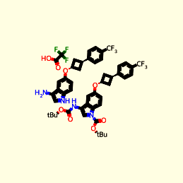 CC(C)(C)OC(=O)Nc1cn(C(=O)OC(C)(C)C)c2ccc(O[C@H]3C[C@H](c4ccc(C(F)(F)F)cc4)C3)cc12.Nc1c[nH]c2ccc(O[C@H]3C[C@H](c4ccc(C(F)(F)F)cc4)C3)cc12.O=C(O)C(F)(F)F